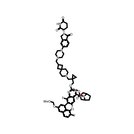 CCc1c(F)ccc2cc(OCOC)cc(-c3c(F)cc4c(N5CC6CCC(C5)N6C(=O)OC(C)(C)C)nc(OCC5(CN6CCC7(CC6)CC(CN6CCN(c8ccc9c(c8)CN([C@H]8CCC(=O)NC8=O)C9=O)CC6)C7)CC5)nc4c3F)c12